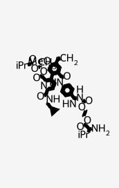 C=Cc1cc(C(=O)Nc2ccc(C(=N)NC(=O)OCCOC(=O)C(N)C(C)C)cc2)c(-c2ccc(C(=O)NCC3CC3)nc2C(=O)OC(C)OC(=O)C(C)C)cc1OC